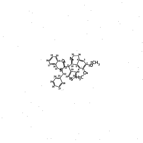 COc1cc2c(cc1OC)C(C(C(=O)N(Cc1ccccc1)Cc1ccccc1)c1ccsc1)=NCC2